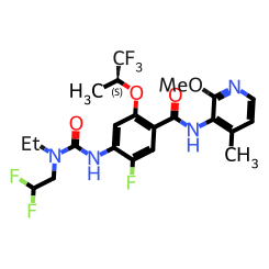 CCN(CC(F)F)C(=O)Nc1cc(O[C@@H](C)C(F)(F)F)c(C(=O)Nc2c(C)ccnc2OC)cc1F